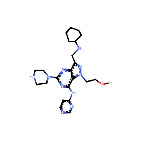 CCOCCn1nc(CNC2CCCCC2)c2nc(N3CCNCC3)nc(Nc3ccncn3)c21